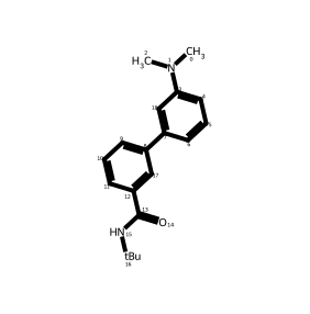 CN(C)c1cccc(-c2cccc(C(=O)NC(C)(C)C)c2)c1